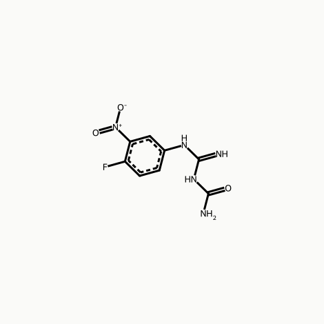 N=C(NC(N)=O)Nc1ccc(F)c([N+](=O)[O-])c1